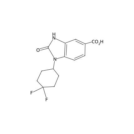 O=C(O)c1ccc2c(c1)[nH]c(=O)n2C1CCC(F)(F)CC1